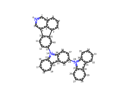 c1cc2c3c(cncc3c1)-c1ccc(-n3c4ccccc4c4cc(-n5c6ccccc6c6ccccc65)ccc43)cc1-2